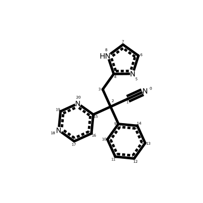 N#CC(Cc1ncc[nH]1)(c1ccccc1)c1ccncn1